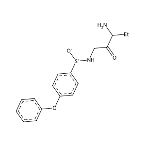 CCC(N)C(=O)CN[S+]([O-])c1ccc(Oc2ccccc2)cc1